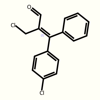 O=C/C(CCl)=C(\c1ccccc1)c1ccc(Cl)cc1